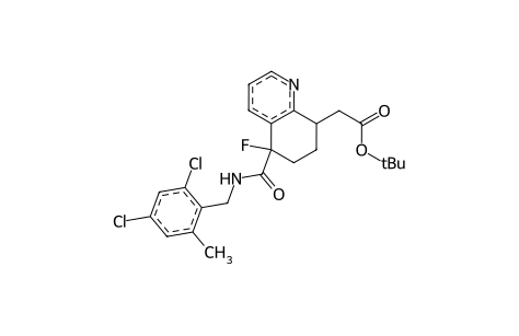 Cc1cc(Cl)cc(Cl)c1CNC(=O)C1(F)CCC(CC(=O)OC(C)(C)C)c2ncccc21